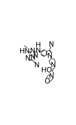 CCNc1nc(Nc2ccc3c(c2)c(C#N)cn3C2CCN(CC(O)CN3CCOCC3)CC2)nn2c(C#N)cnc12